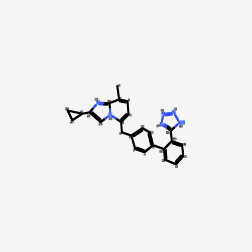 Cc1ccc(Cc2ccc(-c3ccccc3-c3nnn[nH]3)cc2)n2cc(C3CC3)nc12